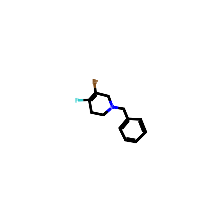 FC1=C(Br)CN(Cc2ccccc2)CC1